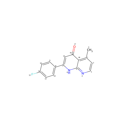 Cc1ccnc2[nH]c(-c3ccc(F)cc3)cc(=O)c12